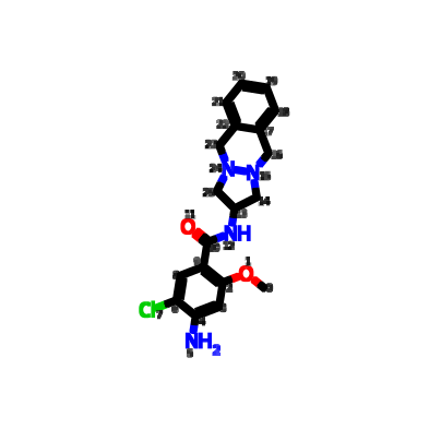 COc1cc(N)c(Cl)cc1C(=O)NC1CN2Cc3ccccc3CN2C1